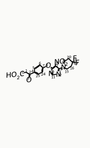 O=C(O)CC(=O)c1ccc(Oc2ncnc(N3CCC(F)(F)CC3)c2[N+](=O)[O-])cc1